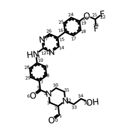 O=CC1CN(C(=O)c2ccc(Nc3ncc(-c4ccc(OC(F)F)cc4)cn3)cc2)CCN1CCO